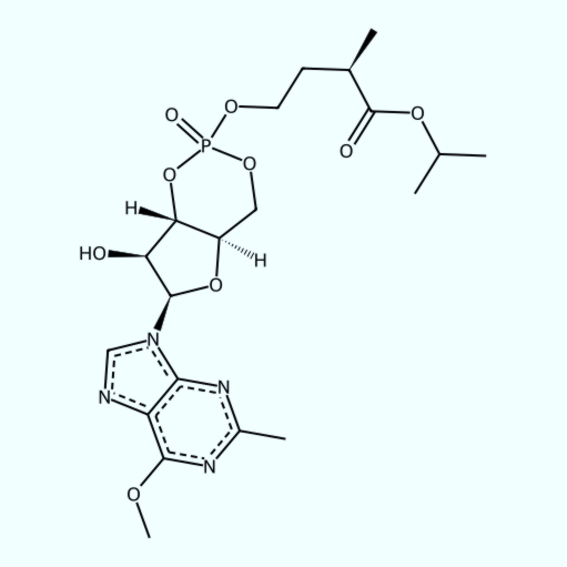 COc1nc(C)nc2c1ncn2[C@@H]1O[C@@H]2COP(=O)(OCC[C@@H](C)C(=O)OC(C)C)O[C@H]2[C@@H]1O